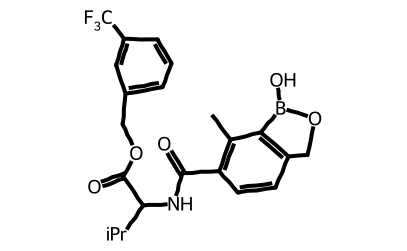 Cc1c(C(=O)NC(C(=O)OCc2cccc(C(F)(F)F)c2)C(C)C)ccc2c1B(O)OC2